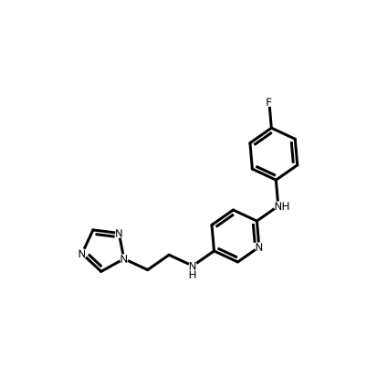 Fc1ccc(Nc2ccc(NCCn3cncn3)cn2)cc1